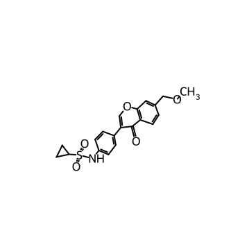 COCc1ccc2c(=O)c(-c3ccc(NS(=O)(=O)C4CC4)cc3)coc2c1